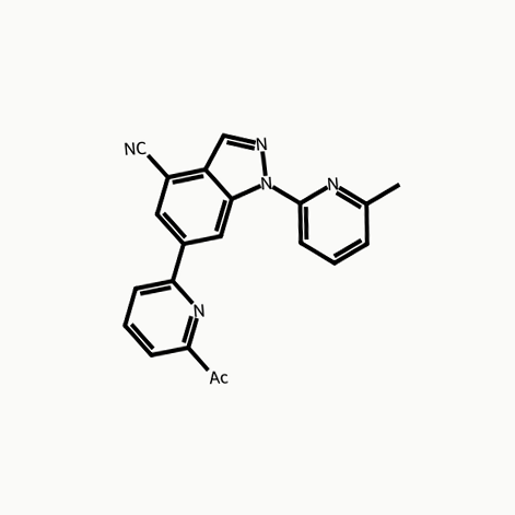 CC(=O)c1cccc(-c2cc(C#N)c3cnn(-c4cccc(C)n4)c3c2)n1